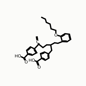 C=C=C(CCC(CCc1ccccc1OCCCCCC)Cc1ccc(C(=O)O)cc1)c1ccc(C(=O)O)cc1